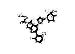 CC(C)(C)OC(=O)N1Cc2nc(-c3c(F)cccc3C#N)cc(-n3ccc(N4CCC(F)C(C)(O)C4)n3)c2C1=O